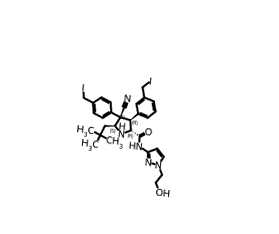 CC(C)(C)C[C@@H]1N[C@@H](C(=O)Nc2ccn(CCO)n2)[C@H](c2cccc(CI)c2)[C@@]1(C#N)c1ccc(CI)cc1